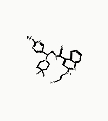 O=C(NCC(c1cnc(C(F)(F)F)nc1)N1CCC(F)(F)CC1)c1cc(NCCO)nc2ccccc12